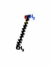 CCCCCCCCCCCCCCCCCCSCCC(N)=O